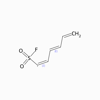 C=C/C=C/C=[C]\S(=O)(=O)F